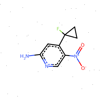 Nc1cc(C2(F)CC2)c([N+](=O)[O-])cn1